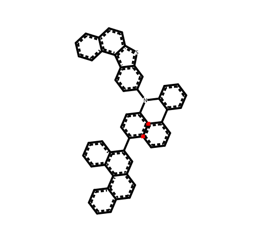 c1ccc(-c2ccccc2N(c2ccc(-c3cc4ccc5ccccc5c4c4ccccc34)cc2)c2ccc3c(c2)sc2ccc4ccccc4c23)cc1